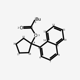 CCC(C)C(=O)OC1(c2cccc3ccccc23)CCCC1